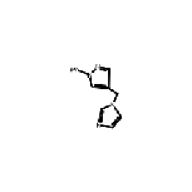 CC(C)n1cc(Cn2ccnc2)cn1